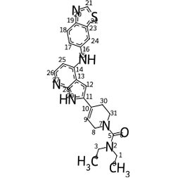 CCN(CC)C(=O)N1CC=C(c2cc3c(Nc4ccc5ncsc5c4)ccnc3[nH]2)CC1